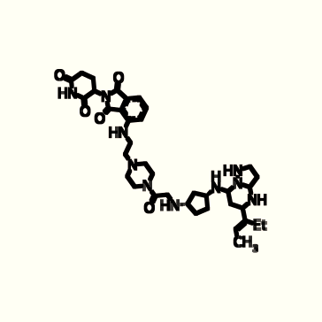 C/C=C(\CC)C1CC(N[C@H]2CC[C@H](NCC(=O)N3CCN(CCNc4cccc5c4C(=O)N(C4CCC(=O)NC4=O)C5=O)CC3)C2)N2NCCC2N1